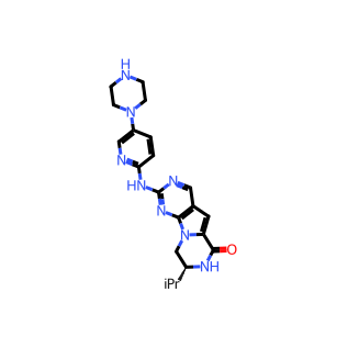 CC(C)[C@H]1Cn2c(cc3cnc(Nc4ccc(N5CCNCC5)cn4)nc32)C(=O)N1